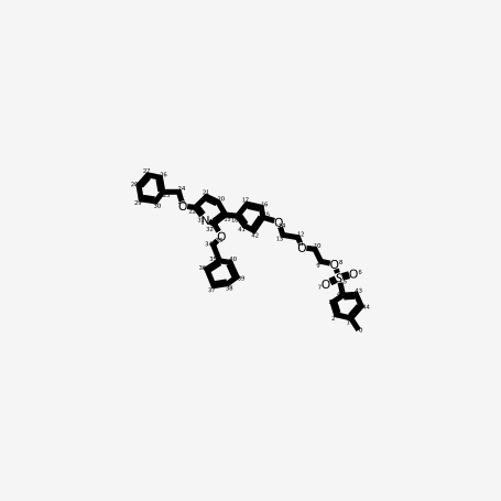 Cc1ccc(S(=O)(=O)OCCOCCOc2ccc(-c3ccc(OCc4ccccc4)nc3OCc3ccccc3)cc2)cc1